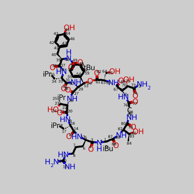 CC[C@H](C)C1NC(=O)[C@@H](CCCNC(=N)N)NC(=O)[C@H](CC(C)C)NC(=O)[C@H]([C@H](O)C(C)C)NC(=O)[C@@H](NC(=O)[C@H](CC(C)C)NC(=O)[C@@H](Cc2ccc(O)cc2)NC(=O)OC(C)(C)C)[C@@H](c2ccccc2)OC(=O)[C@H](CO)NC(=O)[C@H]([C@H](O)C(N)=O)NC(=O)CNC(=O)C([C@H](C)O)NC1=O